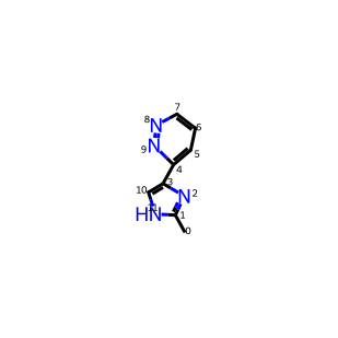 Cc1nc(-c2cccnn2)c[nH]1